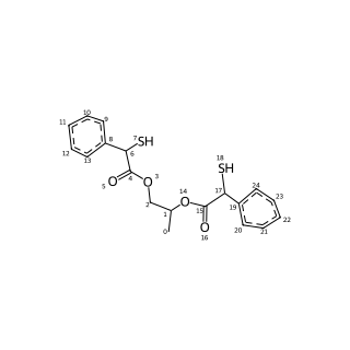 CC(COC(=O)C(S)c1ccccc1)OC(=O)C(S)c1ccccc1